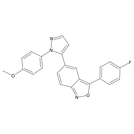 COc1ccc(-n2nccc2-c2ccc3noc(-c4ccc(F)cc4)c3c2)cc1